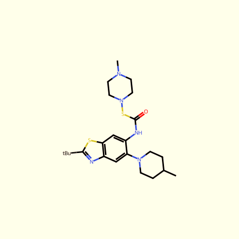 CC1CCN(c2cc3nc(C(C)(C)C)sc3cc2NC(=O)SN2CCN(C)CC2)CC1